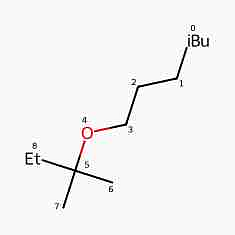 CCC(C)CCCOC(C)(C)CC